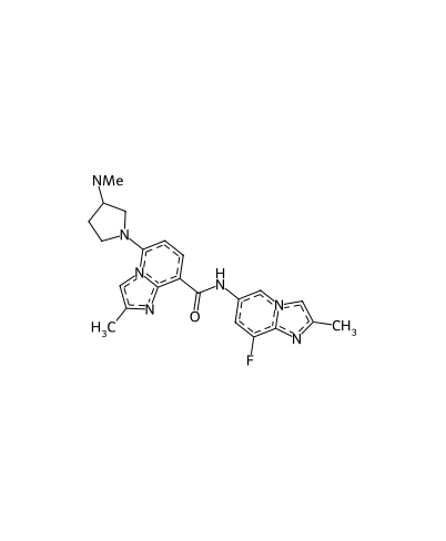 CNC1CCN(c2ccc(C(=O)Nc3cc(F)c4nc(C)cn4c3)c3nc(C)cn23)C1